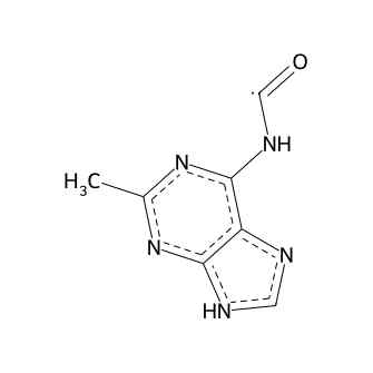 Cc1nc(N[C]=O)c2nc[nH]c2n1